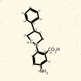 Nc1ccc(N2CCC(c3ccccc3)CC2)c(C(=O)O)c1